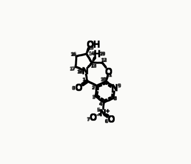 O=C1c2cc([N+](=O)[O-])cnc2OC[C@H]2[C@H](O)CCN12